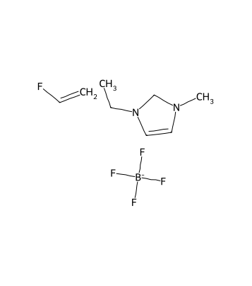 C=CF.CCN1C=CN(C)C1.F[B-](F)(F)F